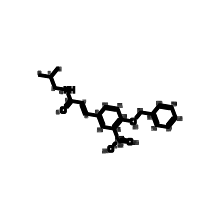 CC(C)CNC(=O)C=Cc1ccc(OCc2ccccc2)c([N+](=O)[O-])c1